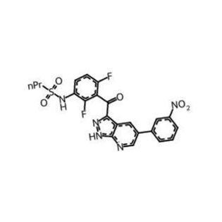 CCCS(=O)(=O)Nc1ccc(F)c(C(=O)c2n[nH]c3ncc(-c4cccc([N+](=O)[O-])c4)cc23)c1F